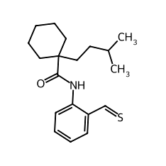 CC(C)CCC1(C(=O)Nc2ccccc2C=S)CCCCC1